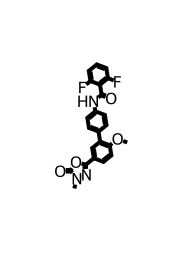 COc1ccc(-c2nn(C)c(=O)o2)cc1-c1ccc(NC(=O)c2c(F)cccc2F)cc1